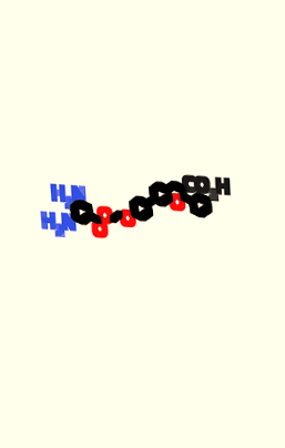 Nc1cc(N)cc(C(=O)OCCOc2ccc(-c3ccc(C=C(C(=O)O)C(=O)c4ccccc4)cc3)cc2)c1